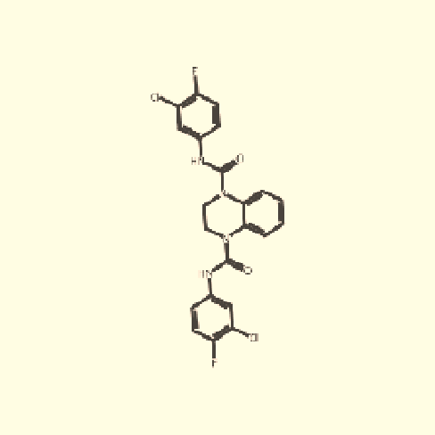 O=C(Nc1ccc(F)c(Cl)c1)N1CCN(C(=O)Nc2ccc(F)c(Cl)c2)c2ccccc21